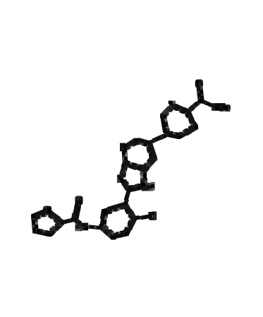 CNC(=O)c1ccc(-c2cnc3nc(-c4cc(NC(=O)c5ccco5)ccc4Cl)[nH]c3c2)cn1